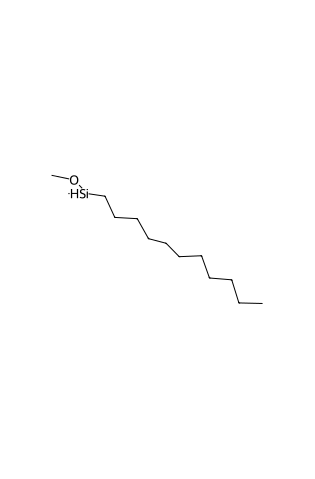 CCCCCCCCCCC[SiH]OC